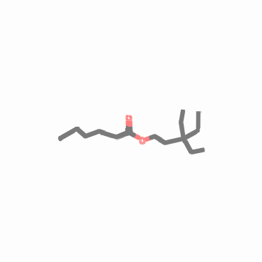 CCCCCC(=O)OCCC(CC)(CC)CC